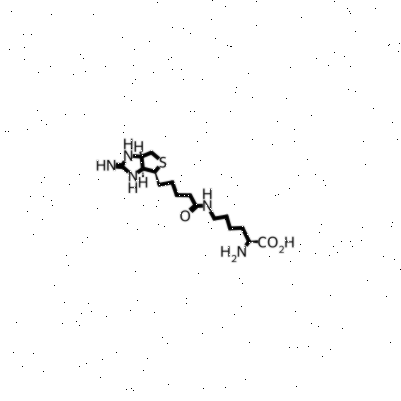 N=C1N[C@H]2[C@H](CS[C@H]2CCCCC(=O)NCCCC[C@H](N)C(=O)O)N1